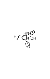 Cc1cc(NC2(CO)COC2)nc(N2CCOCC2)c1